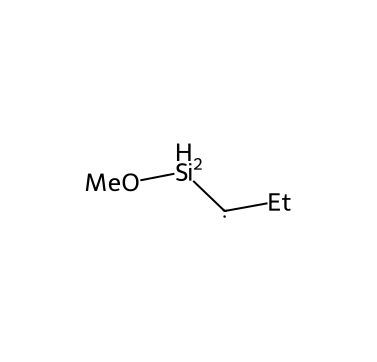 CC[CH][SiH2]OC